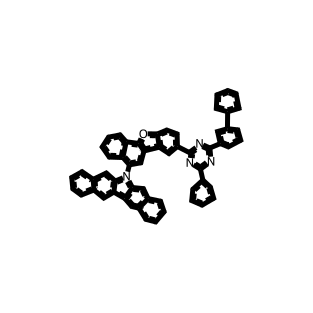 c1ccc(-c2cccc(-c3nc(-c4ccccc4)nc(-c4ccc5oc6c7ccccc7c(-n7c8cc9ccccc9cc8c8cc9ccccc9cc87)cc6c5c4)n3)c2)cc1